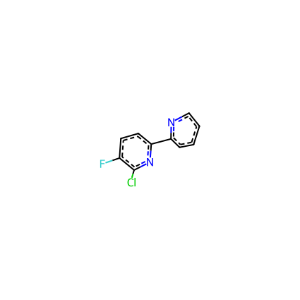 Fc1ccc(-c2ccccn2)nc1Cl